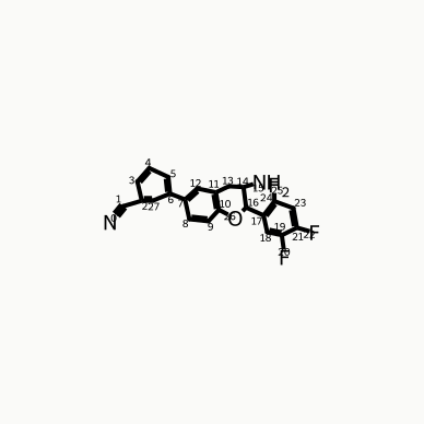 N#Cc1cccc(-c2ccc3c(c2)CC(N)C(c2cc(F)c(F)cc2F)O3)c1